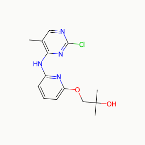 Cc1cnc(Cl)nc1Nc1cccc(OCC(C)(C)O)n1